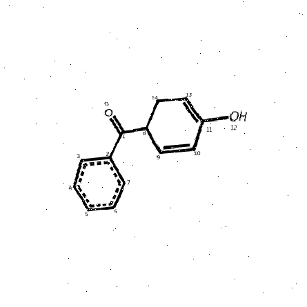 O=C(c1ccccc1)C1C=CC(O)=CC1